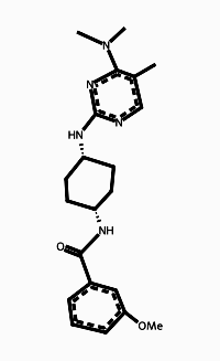 COc1cccc(C(=O)N[C@H]2CC[C@@H](Nc3ncc(C)c(N(C)C)n3)CC2)c1